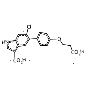 O=C(O)CCOc1ccc(-c2cc3c(C(=O)O)c[nH]c3cc2Cl)cc1